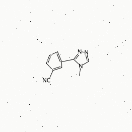 Cn1cnnc1-c1cccc(C#N)c1